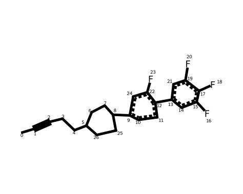 CC#CCCC1CCC(c2ccc(-c3cc(F)c(F)c(F)c3)c(F)c2)CC1